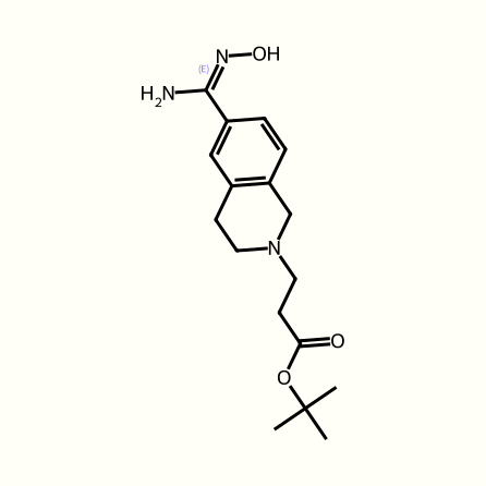 CC(C)(C)OC(=O)CCN1CCc2cc(/C(N)=N\O)ccc2C1